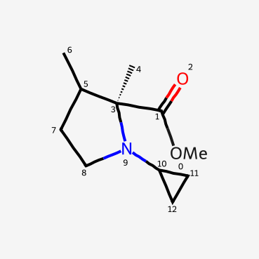 COC(=O)[C@]1(C)C(C)CCN1C1CC1